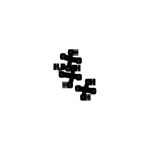 B.O=S(=O)(O)O.O=S(=O)(O)O.O=S(=O)(O)O